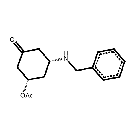 CC(=O)O[C@@H]1CC(=O)C[C@H](NCc2ccccc2)C1